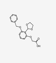 O=C(O)COc1cccc(OCc2ccccc2)c1C1OCCO1